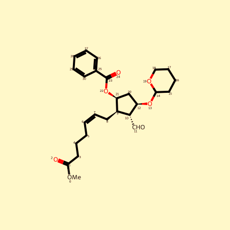 COC(=O)CCC/C=C\C[C@@H]1[C@@H](C=O)[C@H](OC2CCCCO2)C[C@@H]1OC(=O)c1ccccc1